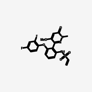 C=CS(=O)(=O)Nc1cccc(Oc2ccc(F)cc2F)c1-c1nn(C)c(=O)cc1OC